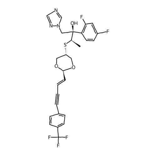 C[C@@H](S[C@H]1CO[C@H](/C=C/C#Cc2ccc(C(F)(F)F)cc2)OC1)[C@](O)(Cn1cncn1)c1ccc(F)cc1F